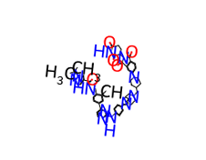 Cc1cc(-c2ccnc(Nc3ccc(N4CCN(CC5CCN(c6ccc7c(c6)C(=O)N(C6CCC(=O)NC6=O)C7=O)CC5)CC4)cc3)n2)ccc1CNC(=O)c1cnn(C(C)C)c1